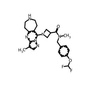 Cc1cnn2c(N3CC(C(=O)N(C)Cc4ccc(OC(F)F)cc4)C3)c3c(nc12)CCNCC3